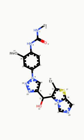 CCNC(=O)Nc1ccc(-n2cc(C(O)c3c(CC)sc4cncn34)nn2)cc1OC